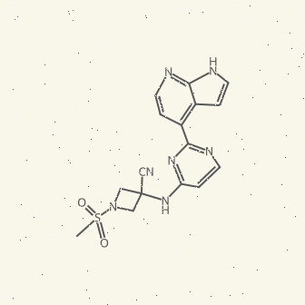 CS(=O)(=O)N1CC(C#N)(Nc2ccnc(-c3ccnc4[nH]ccc34)n2)C1